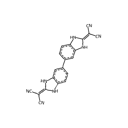 N#CC(C#N)=C1Nc2ccc(-c3ccc4c(c3)NC(=C(C#N)C#N)N4)cc2N1